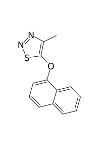 Cc1nnsc1Oc1cccc2ccccc12